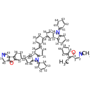 C=N/C=C\c1oc2cc(-c3ccc4c(c3)c3cc(-c5cccc(-c6ccc7c(c6)c6cc(-c8ccc9c(c8)oc8ccncc89)ccc6n7-c6ccccc6)c5)ccc3n4-c3ccccc3)ccc2c1C